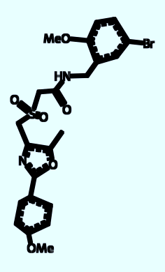 COc1ccc(-c2nc(CS(=O)(=O)CC(=O)NCc3cc(Br)ccc3OC)c(C)o2)cc1